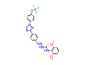 COc1cccc(OC)c1NC(=S)N/N=C/c1ccc(-c2ncn(-c3ccc(OC(F)(F)F)cc3)n2)cc1